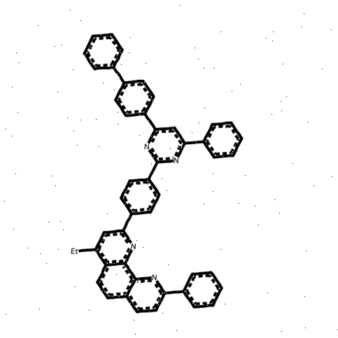 CCc1cc(-c2ccc(-c3nc(-c4ccccc4)cc(-c4ccc(-c5ccccc5)cc4)n3)cc2)nc2c1ccc1ccc(-c3ccccc3)nc12